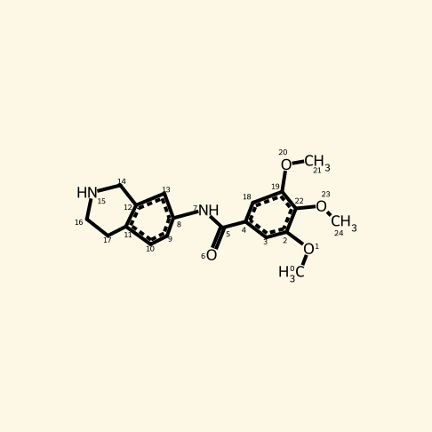 COc1cc(C(=O)Nc2ccc3c(c2)CNCC3)cc(OC)c1OC